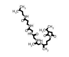 C=C(CCCN1C(=O)CC(C(C)C)C1=O)NCC(=C)NCC(=O)NCC(=O)NCCC(=O)NCCC(C)C